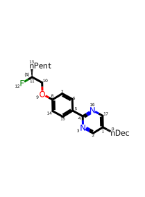 CCCCCCCCCCc1cnc(-c2ccc(OC[C@@H](F)CCCCC)cc2)nc1